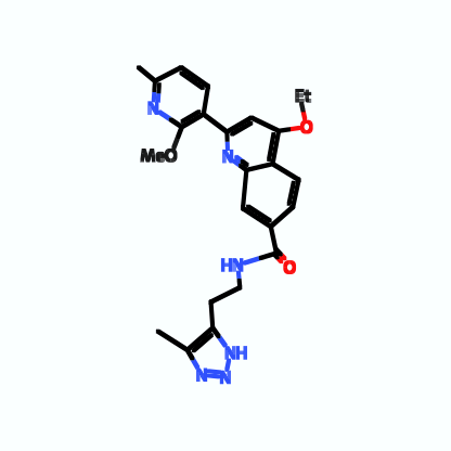 CCOc1cc(-c2ccc(C)nc2OC)nc2cc(C(=O)NCCc3[nH]nnc3C)ccc12